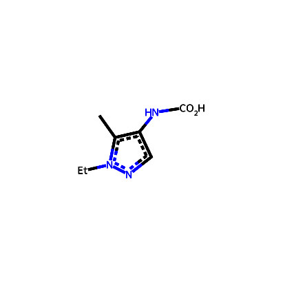 CCn1ncc(NC(=O)O)c1C